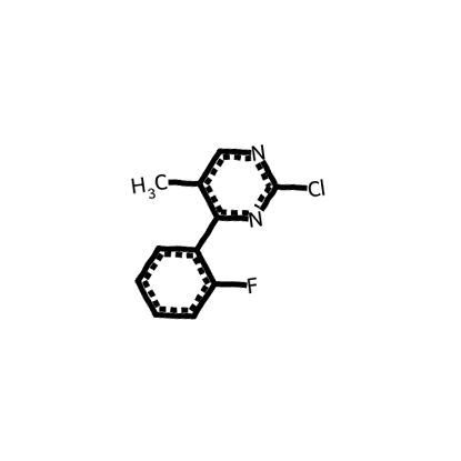 Cc1cnc(Cl)nc1-c1ccccc1F